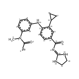 CC(C)C(=O)N(C)c1cccc(Nc2ccc(C(=O)N=C3NCCN3)cc2C2CC2)c1